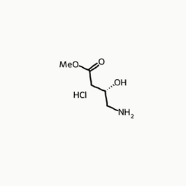 COC(=O)C[C@H](O)CN.Cl